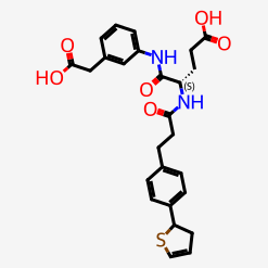 O=C(O)CC[C@H](NC(=O)CCc1ccc(C2CC=CS2)cc1)C(=O)Nc1cccc(CC(=O)O)c1